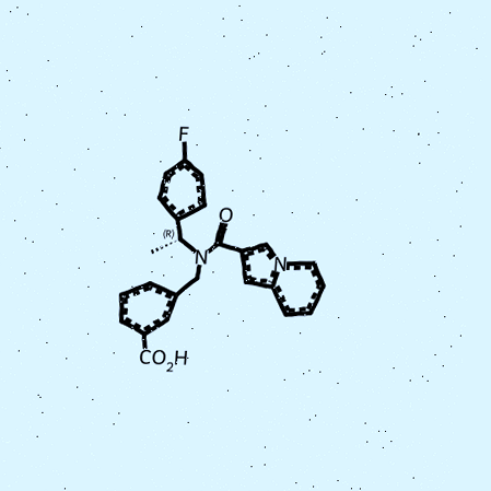 C[C@H](c1ccc(F)cc1)N(Cc1cccc(C(=O)O)c1)C(=O)c1cc2ccccn2c1